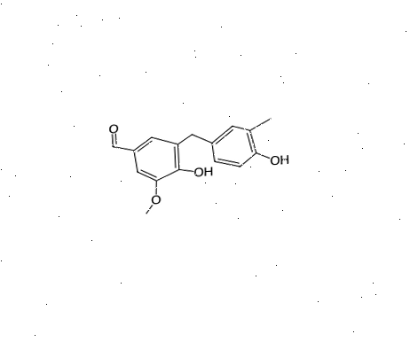 COc1cc(C=O)cc(Cc2ccc(O)c(C)c2)c1O